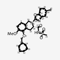 COc1ccc2c(c1OCc1ccccc1)C[C@@H](C(=O)NS(C)(=O)=O)N(c1nc3cc(F)ccc3o1)C2